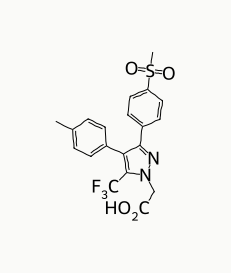 Cc1ccc(-c2c(-c3ccc(S(C)(=O)=O)cc3)nn(CC(=O)O)c2C(F)(F)F)cc1